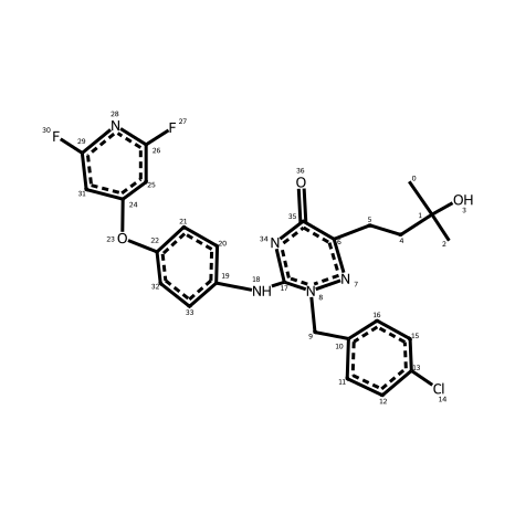 CC(C)(O)CCc1nn(Cc2ccc(Cl)cc2)c(Nc2ccc(Oc3cc(F)nc(F)c3)cc2)nc1=O